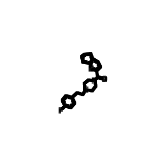 O=C(c1ccc2ccccc2n1)N1CCN(CCc2ccc(F)cc2)CC1